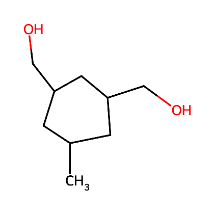 CC1CC(CO)CC(CO)C1